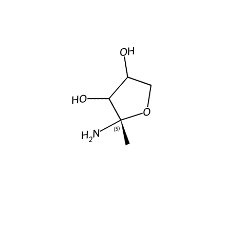 C[C@]1(N)OCC(O)C1O